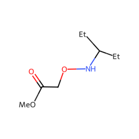 CCC(CC)NOCC(=O)OC